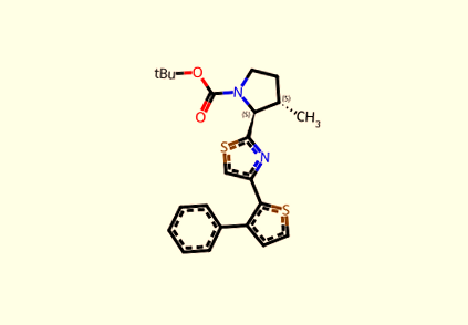 C[C@H]1CCN(C(=O)OC(C)(C)C)[C@@H]1c1nc(-c2sccc2-c2ccccc2)cs1